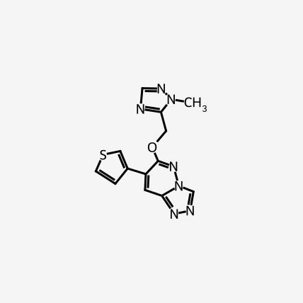 Cn1ncnc1COc1nn2cnnc2cc1-c1ccsc1